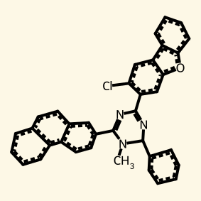 CN1C(c2ccc3c(ccc4ccccc43)c2)=NC(c2cc3oc4ccccc4c3cc2Cl)=NC1c1ccccc1